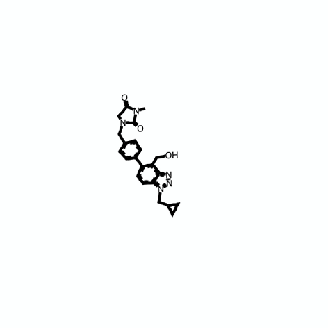 CN1C(=O)CN(Cc2ccc(-c3ccc4c(nnn4CC4CC4)c3CO)cc2)C1=O